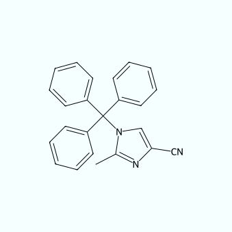 Cc1nc(C#N)cn1C(c1ccccc1)(c1ccccc1)c1ccccc1